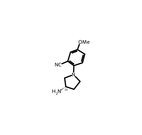 COc1ccc(N2CC[C@H](N)C2)c(C#N)c1